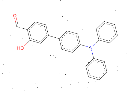 O=Cc1ccc(-c2ccc(N(c3ccccc3)c3ccccc3)cc2)cc1O